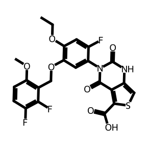 CCOc1cc(F)c(-n2c(=O)[nH]c3csc(C(=O)O)c3c2=O)cc1OCc1c(OC)ccc(F)c1F